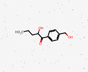 O=C(O)CCC(O)C(=O)c1ccc(CO)cc1